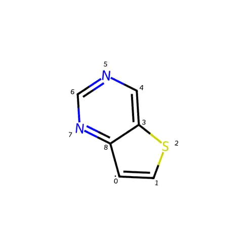 [c]1csc2cncnc12